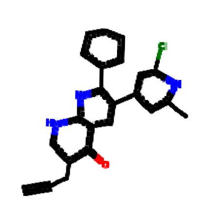 C#CCc1c[nH]c2nc(-c3ccccc3)c(-c3cc(C)nc(Cl)c3)cc2c1=O